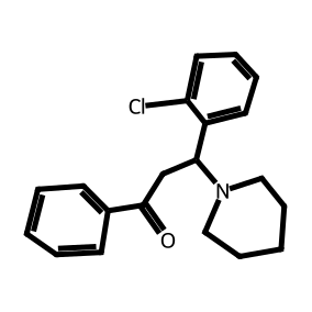 O=C(CC(c1ccccc1Cl)N1CCCCC1)c1ccccc1